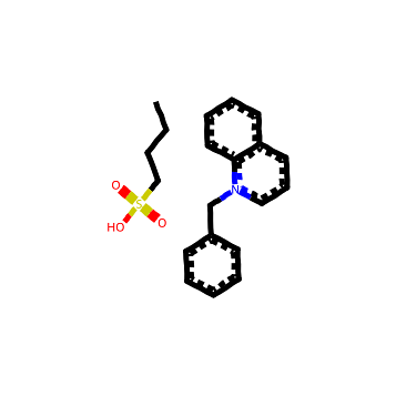 CCCCS(=O)(=O)O.c1ccc(C[n+]2cccc3ccccc32)cc1